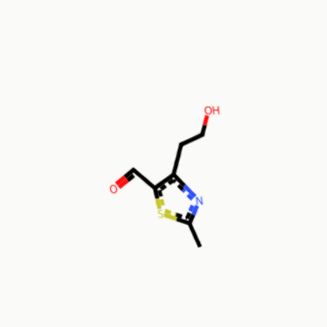 Cc1nc(CCO)c(C=O)s1